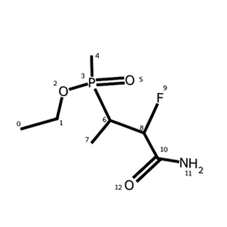 CCOP(C)(=O)C(C)C(F)C(N)=O